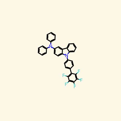 Fc1c(F)c(F)c(-c2ccc(-n3c4ccccc4c4cc(N(c5ccccc5)c5ccccc5)ccc43)cc2)c(F)c1F